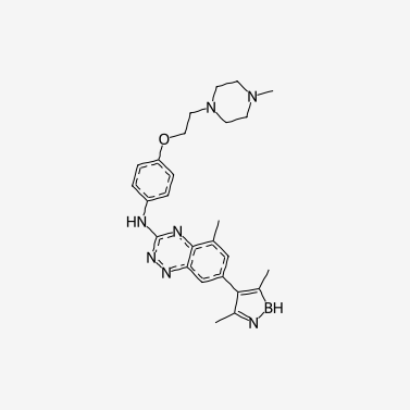 CC1=NBC(C)=C1c1cc(C)c2nc(Nc3ccc(OCCN4CCN(C)CC4)cc3)nnc2c1